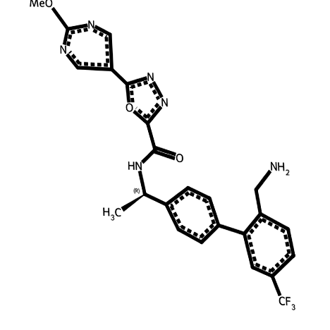 COc1ncc(-c2nnc(C(=O)N[C@H](C)c3ccc(-c4cc(C(F)(F)F)ccc4CN)cc3)o2)cn1